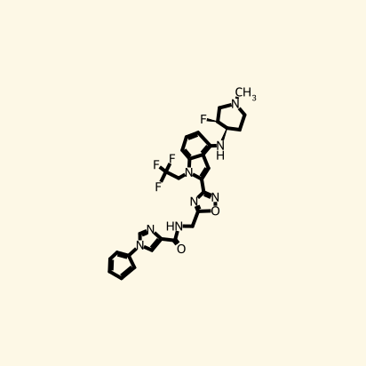 CN1CC[C@@H](Nc2cccc3c2cc(-c2noc(CNC(=O)c4cn(-c5ccccc5)cn4)n2)n3CC(F)(F)F)[C@@H](F)C1